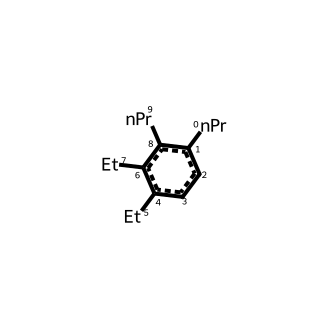 CCCc1ccc(CC)c(CC)c1CCC